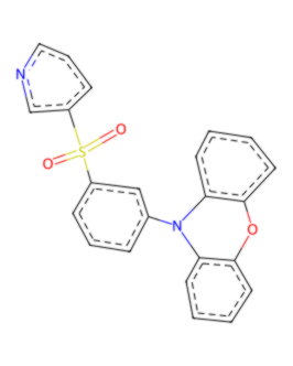 O=S(=O)(c1cccnc1)c1cccc(N2c3ccccc3Oc3ccccc32)c1